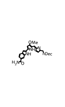 CCCCCCCCCCCC1=NC(=Cc2[nH]c(-c3cc4ccc(C(N)=O)cc4[nH]3)cc2OC)C=C1